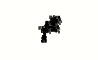 CC[C@H](C)[C@@H]([C@@H](CC(=O)N1CCCC1[C@H](OC)[C@@H](C)C(=O)NCCc1ccc(O)cc1)OC)N(C)C(=O)[C@@H](NC(=O)[C@H](C(C)C)N(C)C)C(C)C